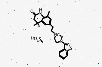 CS(=O)(=O)O.Cc1cc(CCN2CCN(c3nsc4ccccc34)CC2)cc2c1NC(=O)CC2(C)C